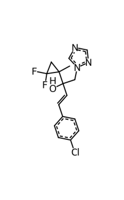 CC1(C(O)(C=Cc2ccc(Cl)cc2)Cn2cncn2)CC1(F)F